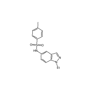 CCn1ncc2cc(NS(=O)(=O)c3ccc(C)cc3)ccc21